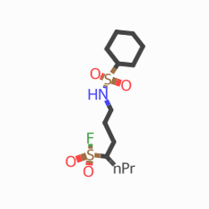 CCCC(CCCNS(=O)(=O)C1CCCCC1)S(=O)(=O)F